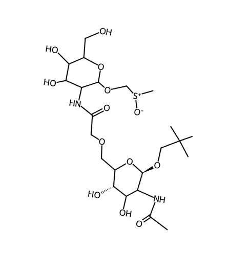 CC(=O)NC1C(O)[C@H](O)C(COCC(=O)NC2C(OC[S+](C)[O-])OC(CO)C(O)C2O)O[C@H]1OCC(C)(C)C